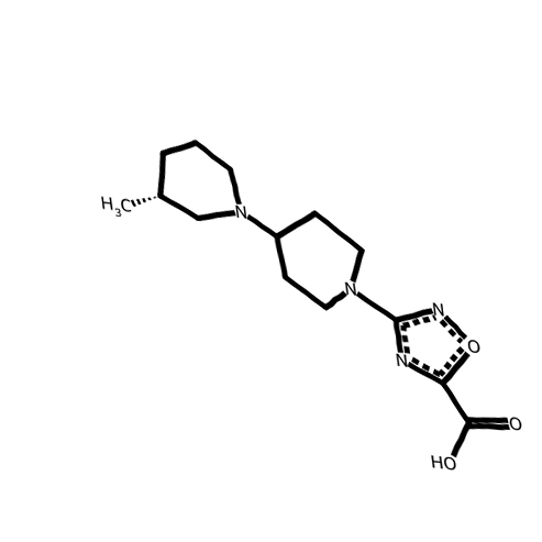 C[C@@H]1CCCN(C2CCN(c3noc(C(=O)O)n3)CC2)C1